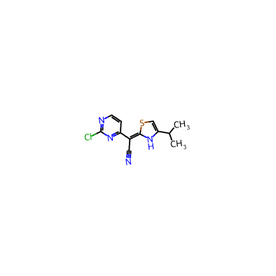 CC(C)C1=CSC(=C(C#N)c2ccnc(Cl)n2)N1